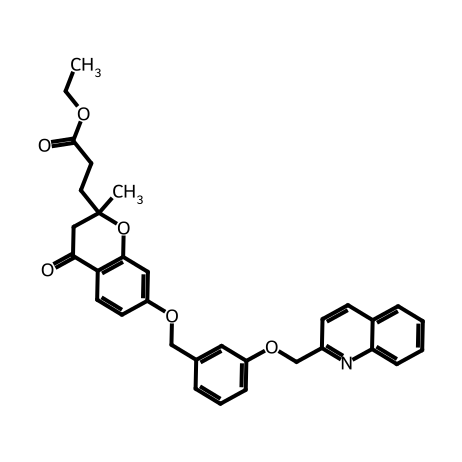 CCOC(=O)CCC1(C)CC(=O)c2ccc(OCc3cccc(OCc4ccc5ccccc5n4)c3)cc2O1